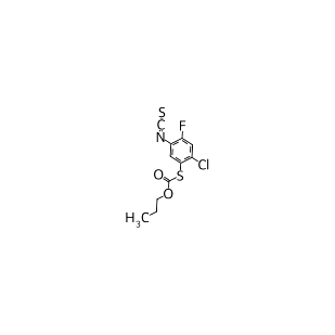 CCCOC(=O)Sc1cc(N=C=S)c(F)cc1Cl